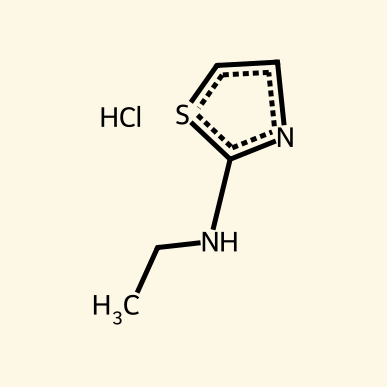 CCNc1nccs1.Cl